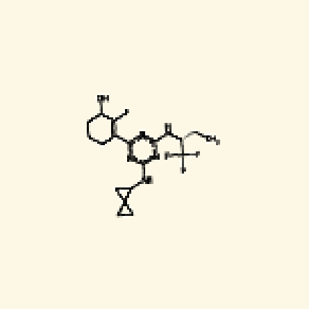 CC[C@@H](Nc1nc(NC2CC23CC3)nc(C2=C(F)C(O)CCC2)n1)C(F)(F)F